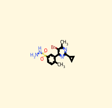 Cc1ccc(S(=O)(=O)NN)cc1-c1nc(C2CC2)nc(C)c1Br